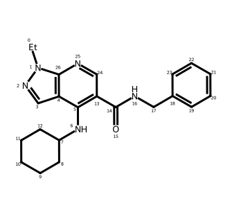 CCn1ncc2c(NC3CCCCC3)c(C(=O)NCc3ccccc3)cnc21